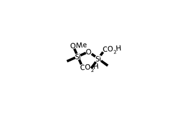 CO[Si](C)(O[Si](C)(C)C(=O)O)C(=O)O